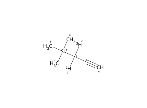 [2H]C([2H])(C#C)[Si](C)(C)C